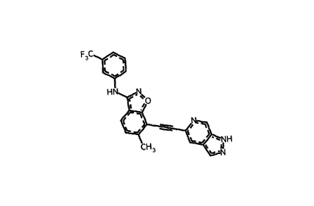 Cc1ccc2c(Nc3cccc(C(F)(F)F)c3)noc2c1C#Cc1cc2cn[nH]c2cn1